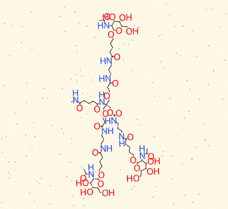 CNC(=O)CCCC(=O)NC(COCCC(=O)NCCCNC(=O)CCCCO[C@@H]1OC(CO)[C@H](O)C(O)[C@@H]1NC(C)=O)(COCCC(=O)NCCCNC(=O)CCCCO[C@@H]1OC(CO)[C@H](O)C(O)[C@@H]1NC(C)=O)COC(=O)NCCCNC(=O)CCCCO[C@@H]1OC(CO)[C@H](O)C(O)[C@@H]1NC(C)=O